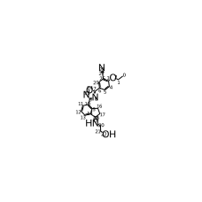 CCOc1ccc(-c2nc(-c3cccc4c3CC[C@@H]4NCCO)no2)cc1C#N